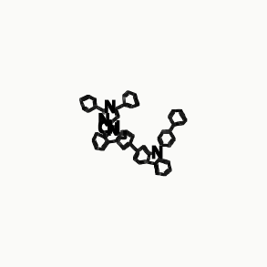 CC12CC=CC=C1c1cc(-c3ccc4c5ccccc5n(-c5ccc(-c6ccccc6)cc5)c4c3)ccc1N2c1cc(-c2ccccc2)nc(-c2ccccc2)n1